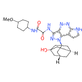 COC1CCC(NC(=O)C(=O)Nc2nn([C@@]34C[C@@H]5C[C@@H](CC(O)(C5)C3)C4)c3c2nnc2[nH]ccc23)CC1